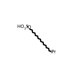 CC(C)CCCCCCCCCCCCCCCOS(=O)(=O)O